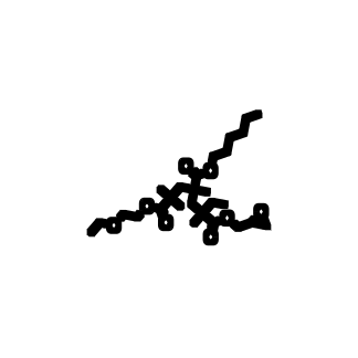 CCCCCCOC(=O)C(C)(CC(C)(C)C(=O)OCCOCC)CC(C)(CC)C(=O)OCC1CO1